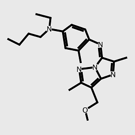 CCCCN(CC)c1ccc(/N=C2/C(C)=Nc3c(COC)c(C)nn32)c(C)c1